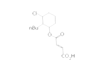 CCCCC1C(Cl)CCCC1OC(=O)C=CC(=O)O